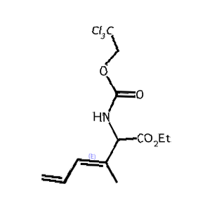 C=C/C=C(\C)C(NC(=O)OCC(Cl)(Cl)Cl)C(=O)OCC